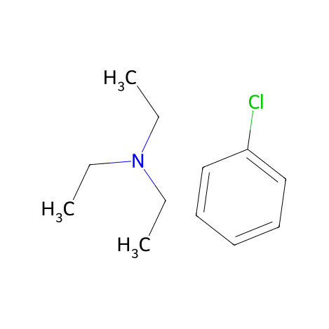 CCN(CC)CC.Clc1ccccc1